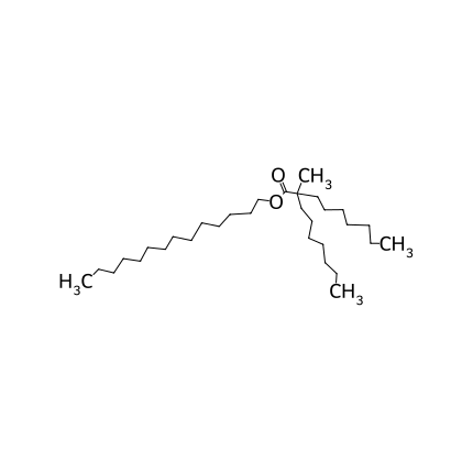 CCCCCCCCCCCCCCOC(=O)C(C)(CCCCCCC)CCCCCCC